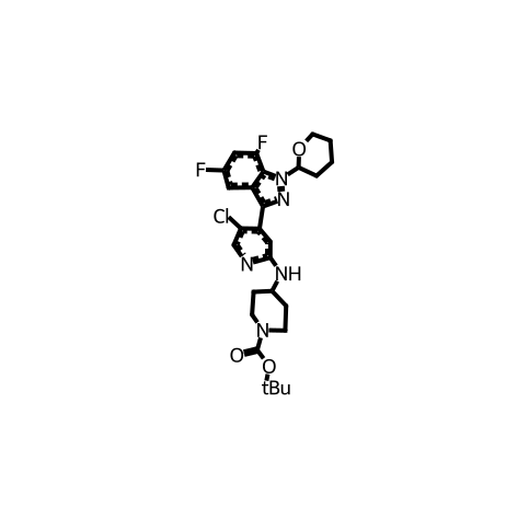 CC(C)(C)OC(=O)N1CCC(Nc2cc(-c3nn(C4CCCCO4)c4c(F)cc(F)cc34)c(Cl)cn2)CC1